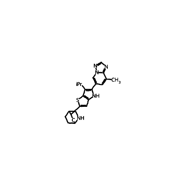 Cc1cc(-c2[nH]c3cc(C4CC5CCC4CN5)sc3c2C(C)C)cn2ncnc12